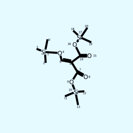 C[Si](C)(C)OC=C(C(=O)O[Si](C)(C)C)C(=O)O[Si](C)(C)C